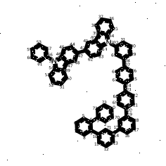 c1ccc(-c2ccccc2-c2cccc(-c3cccc(-c4ccc(-c5ccc(-c6cccc(-n7c8ccccc8c8cc(-c9ccc%10c(c9)c9ccccc9n%10-c9ccccc9)ccc87)c6)cc5)cc4)c3)c2)cc1